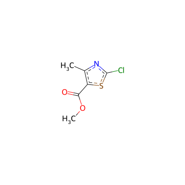 COC(=O)c1sc(Cl)nc1C